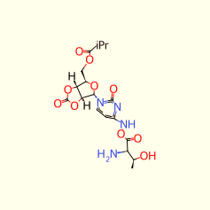 CC(C)C(=O)OC[C@H]1O[C@@H](n2ccc(NOC(=O)[C@H](N)[C@H](C)O)nc2=O)[C@@H]2OC(=O)O[C@@H]21